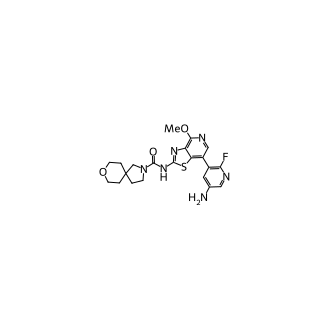 COc1ncc(-c2cc(N)cnc2F)c2sc(NC(=O)N3CCC4(CCOCC4)C3)nc12